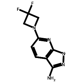 NC1=N[N]c2nc(N3CC(F)(F)C3)ccc21